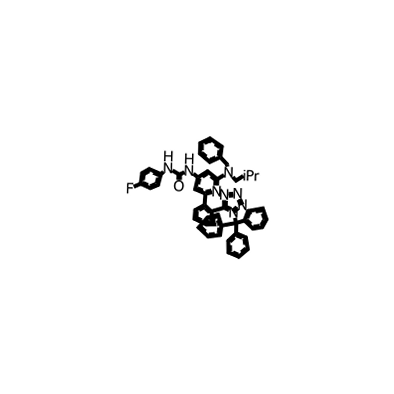 CC(C)CN(Cc1ccccc1)c1cc(NC(=O)Nc2ccc(F)cc2)cc(-c2ccccc2-c2nnnn2C(c2ccccc2)(c2ccccc2)c2ccccc2)n1